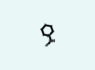 FNN1CCCCC1